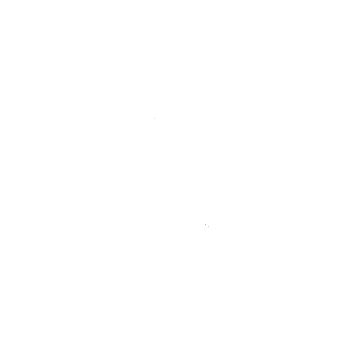 Cc1ccc(-c2ccc(OC(F)(F)F)cc2)cc1N